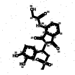 CS(=O)(=O)CC(c1ccc(O)c(O)c1)N1C(=O)c2cccc(NC(=O)CO)c2C1=O